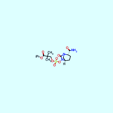 CC(C)OC(=O)C(C)(C)COS(=O)(=O)ON1C(=O)N2C[C@H]1CC[C@H]2C(N)=O